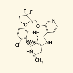 COc1c(Cl)cccc1Nc1c(-c2ccncc2OC[C@@H]2OCCC2(F)F)[nH]c2c1C(=O)N[C@H](C)C2